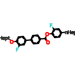 CCCCCCCOc1ccc(-c2ccc(C(=O)Oc3ccc(CCCCCCC)cc3F)cc2)cc1F